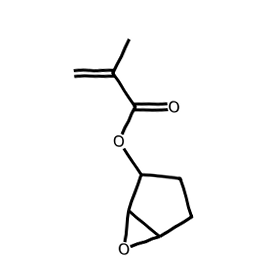 C=C(C)C(=O)OC1CCC2OC12